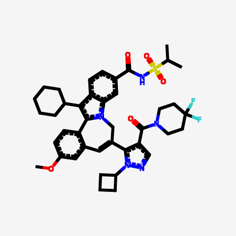 COc1ccc2c(c1)C=C(c1c(C(=O)N3CCC(F)(F)CC3)cnn1C1CCC1)Cn1c-2c(C2CCCCC2)c2ccc(C(=O)NS(=O)(=O)C(C)C)cc21